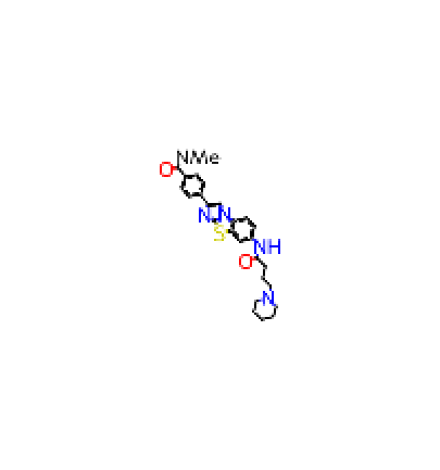 CNC(=O)c1ccc(-c2cn3c(n2)sc2cc(NC(=O)CCCN4CCCCC4)ccc23)cc1